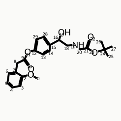 COc1ccccc1CC(=O)Oc1ccc(C(O)CNCC(=O)OC(C)(C)C)cc1